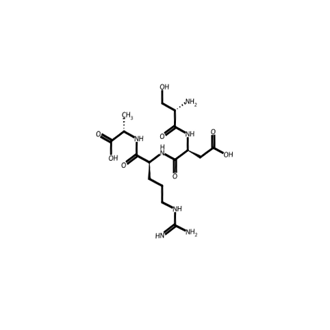 C[C@H](NC(=O)[C@H](CCCNC(=N)N)NC(=O)[C@H](CC(=O)O)NC(=O)[C@@H](N)CO)C(=O)O